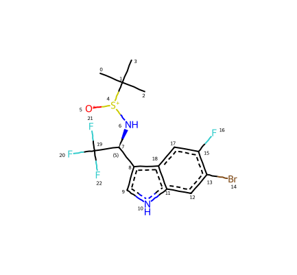 CC(C)(C)[S+]([O-])N[C@@H](c1c[nH]c2cc(Br)c(F)cc12)C(F)(F)F